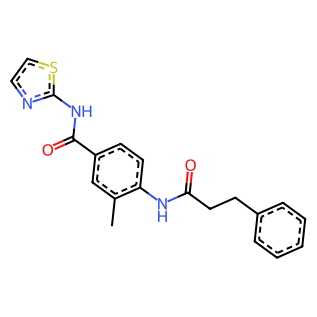 Cc1cc(C(=O)Nc2nccs2)ccc1NC(=O)CCc1ccccc1